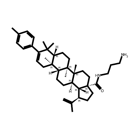 C=C(C)[C@@H]1CC[C@]2(C(=O)NCCCN)CC[C@]3(C)[C@H](CC[C@@H]4[C@@]5(C)CC=C(c6ccc(C)cc6)C(C)(C)[C@@H]5CC[C@]43C)[C@@H]12